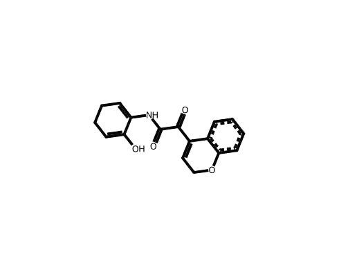 O=C(NC1=CCCC=C1O)C(=O)C1=CCOc2ccccc21